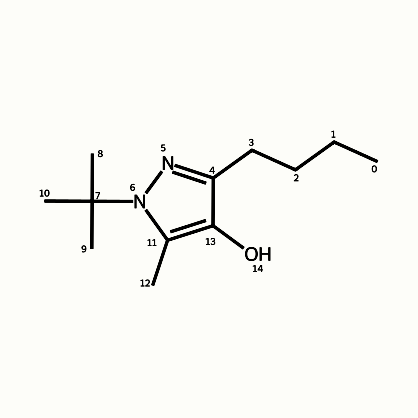 CCCCc1nn(C(C)(C)C)c(C)c1O